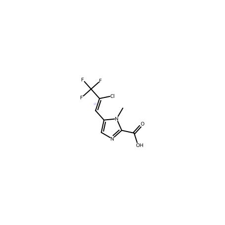 Cn1c(/C=C(\Cl)C(F)(F)F)cnc1C(=O)O